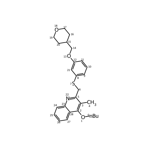 CCCCOc1c(C)c(CSc2cccc(OCC3CCOCC3)c2)nc2ccccc12